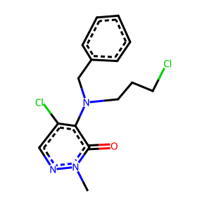 Cn1ncc(Cl)c(N(CCCCl)Cc2ccccc2)c1=O